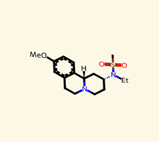 CCN([C@@H]1CCN2CCc3cc(OC)ccc3[C@@H]2C1)S(C)(=O)=O